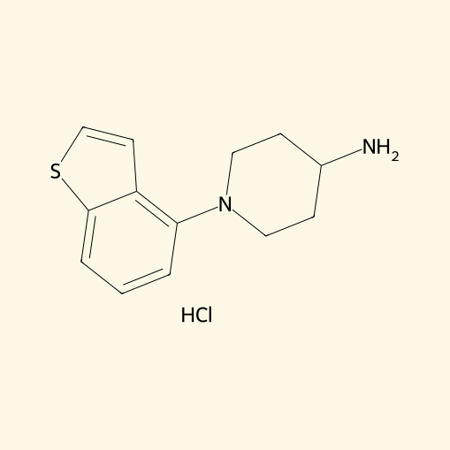 Cl.NC1CCN(c2cccc3sccc23)CC1